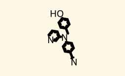 N#Cc1ccc(N(Cc2ccc(O)cc2)c2cccnc2)cc1